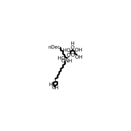 CCCCCCCCCCCCCCC[C@@H](O)[C@H](COC1OC(CO)C(O)C(O)C1O)NC(=O)CCCCCCCCCC[C@H]1CC[C@H]2O[C@H]2C1